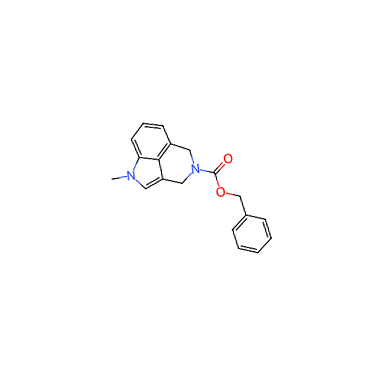 Cn1cc2c3c(cccc31)CN(C(=O)OCc1ccccc1)C2